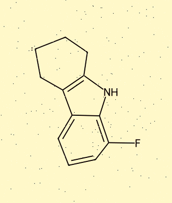 Fc1cccc2c3c([nH]c12)CC[C]C3